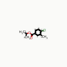 Cc1cc(C(=O)OC(C)C)ccc1Cl